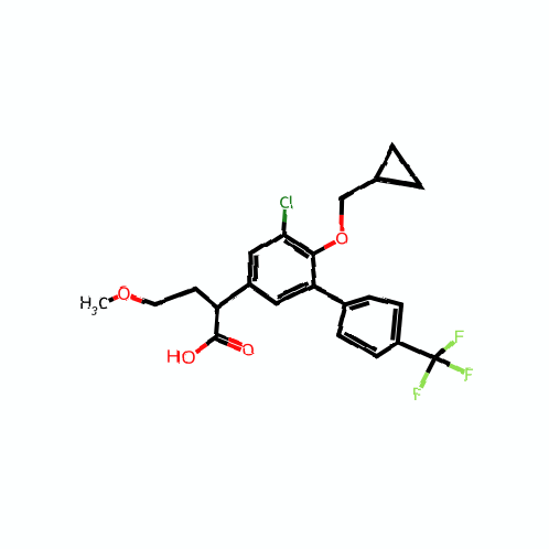 COCCC(C(=O)O)c1cc(Cl)c(OCC2CC2)c(-c2ccc(C(F)(F)F)cc2)c1